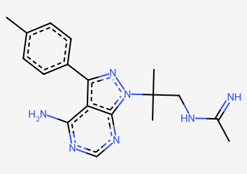 CC(=N)NCC(C)(C)n1nc(-c2ccc(C)cc2)c2c(N)ncnc21